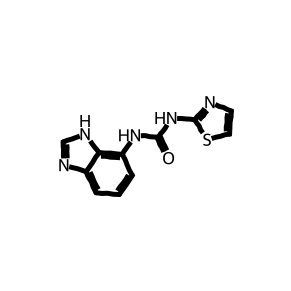 O=C(Nc1nccs1)Nc1cccc2nc[nH]c12